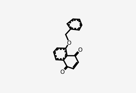 O=C1C=CC(=O)c2c(OCc3ccccc3)cccc21